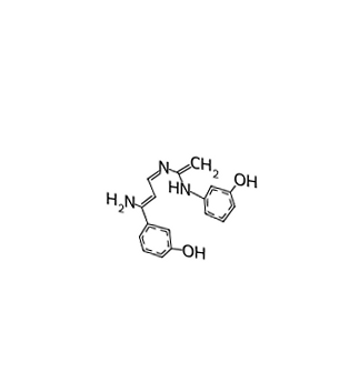 C=C(/N=C\C=C(/N)c1cccc(O)c1)Nc1cccc(O)c1